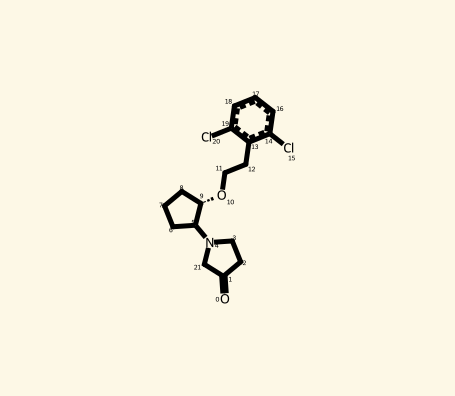 O=C1CCN(C2CCC[C@@H]2OCCc2c(Cl)cccc2Cl)C1